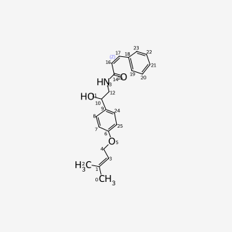 CC(C)=CCOc1ccc(C(O)CNC(=O)/C=C\c2ccccc2)cc1